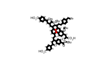 CC(C)Cc1ccc(CCC(CC(CC(CC(Cl)c2ccc(C(=O)O)cc2)C(=O)OC(C)(C)C)c2ccc(CCC(CC(Cl)c3ccc(C(=O)O)cc3)c3ccc(C(=O)OC(C)(C)C)cc3)cc2)c2ccc(CCC(CC(Cl)C(=O)O)C(=O)OC(C)(C)C)cc2)cc1